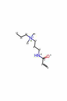 C=CC(=O)NCCC[N+](C)(C)CCC